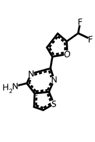 Nc1nc(-c2ccc(C(F)F)o2)nc2sccc12